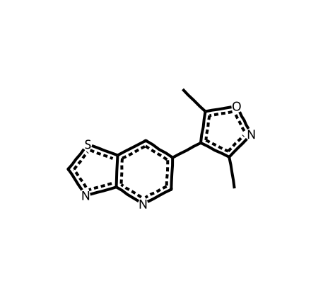 Cc1noc(C)c1-c1cnc2ncsc2c1